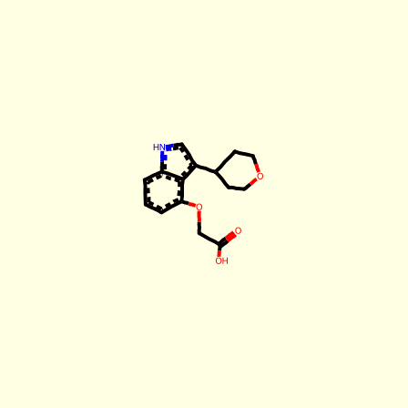 O=C(O)COc1cccc2[nH]cc(C3CCOCC3)c12